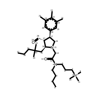 CCCCN(CCC[N+](C)(C)C)C(=O)CN1C[C@H](c2cc(C)c(C)c(C)c2)[C@@H](C=O)[C@@H]1CC(C)(C)CCC